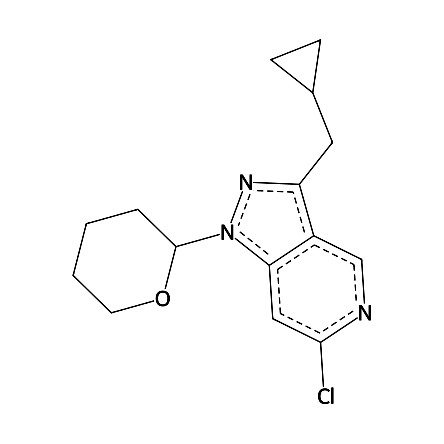 Clc1cc2c(cn1)c(CC1CC1)nn2C1CCCCO1